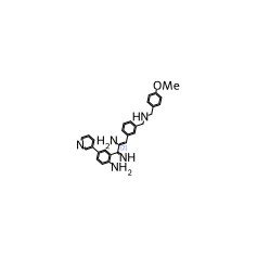 COc1ccc(CNCc2cccc(/C=C(\N)C(=N)c3cc(-c4cccnc4)ccc3N)c2)cc1